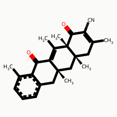 CC1=C(C#N)C(=O)[C@@]2(C)C(C)=C3C(=O)c4c(C)cccc4C[C@@]3(C)C[C@@]2(C)C1